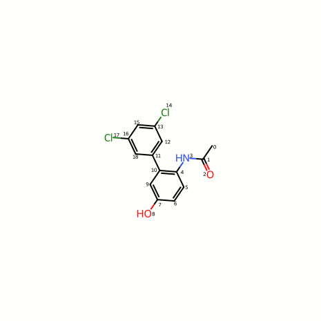 CC(=O)Nc1ccc(O)cc1-c1cc(Cl)cc(Cl)c1